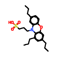 CCCc1cc(CCC)c2c(c1)Oc1ccc(CCC)cc1N2CCCS(=O)(=O)O